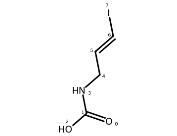 O=C(O)NCC=CI